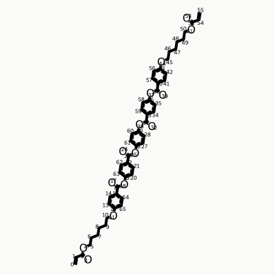 C=CC(=O)OCCCCCCOc1ccc(C(=O)Oc2ccc(C(=O)Oc3ccc(OC(=O)c4ccc(OC(=O)c5ccc(OCCCCCCOC(=O)C=C)cc5)cc4)cc3)cc2)cc1